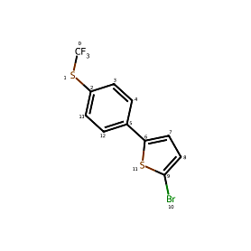 FC(F)(F)Sc1ccc(-c2ccc(Br)s2)cc1